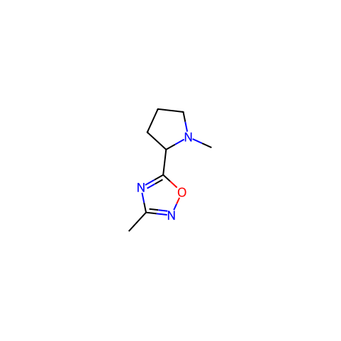 Cc1noc(C2CCCN2C)n1